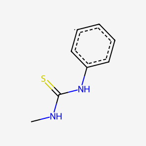 CNC(=S)Nc1c[c]ccc1